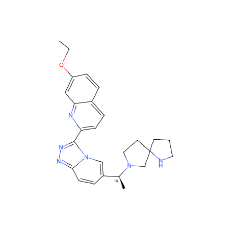 CCOc1ccc2ccc(-c3nnc4ccc([C@H](C)N5CCC6(CCCN6)C5)cn34)nc2c1